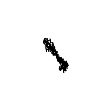 CO[C@H]1CC[C@H](C(=O)NC2CCC(CCN3CCN(c4noc5cc(F)c(F)cc45)CC3)CC2)CC1